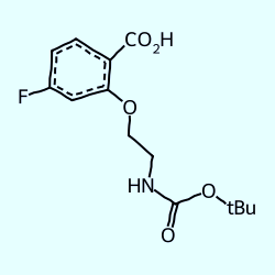 CC(C)(C)OC(=O)NCCOc1cc(F)ccc1C(=O)O